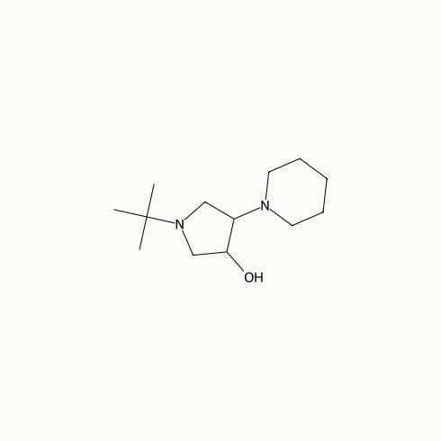 CC(C)(C)N1CC(O)C(N2CCCCC2)C1